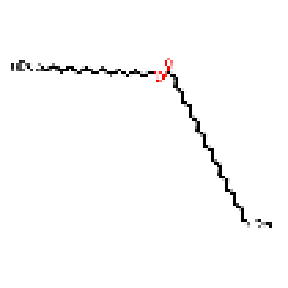 CCCCCCCCCCCCCCCCCCCCCCCCCCCCCCC(=O)OCCCCCCCCCCCCCCCCCCCCCCCC